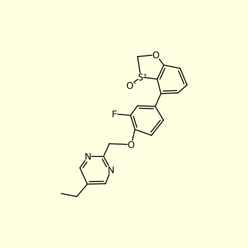 CCc1cnc(COc2ccc(-c3cccc4c3[S+]([O-])CO4)cc2F)nc1